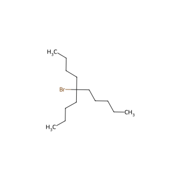 CCCCCC(Br)(CCCC)CCCC